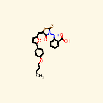 CCCCOc1ccc(-c2ccc(C=C3SC(=S)N(Nc4ccccc4C(=O)O)C3=O)o2)cc1